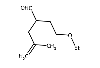 C=C(C)CC(C=O)CCOCC